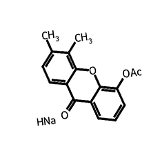 CC(=O)Oc1cccc2c(=O)c3ccc(C)c(C)c3oc12.[NaH]